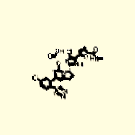 CNC(=O)c1ccc(-c2[nH]c([C@@H]3CCc4cc(-c5cc(Cl)ccc5-n5cnnn5)cc(=O)n43)nc2Cl)o1.O=CO